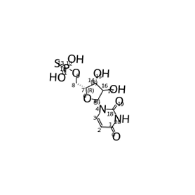 O=c1ccn([C@@H]2O[C@H](COP(O)(O)=S)[C@H](O)C2O)c(=O)[nH]1